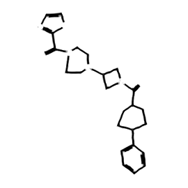 O=C(c1nccs1)N1CCN(C2CN(C(=O)C3CCC(c4ccccc4)CC3)C2)CC1